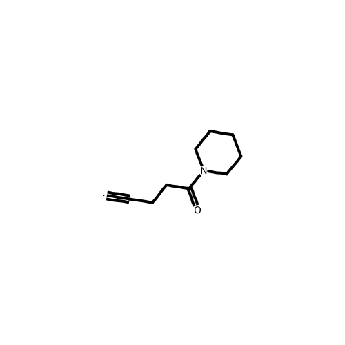 [C]#CCCC(=O)N1CCCCC1